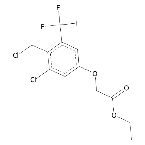 CCOC(=O)COc1cc(Cl)c(CCl)c(C(F)(F)F)c1